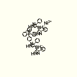 Cc1ccccc1[PH](c1ccccc1)(c1ccccc1)c1ccccc1.[BH2-](c1c[nH]nc1-c1ccccc1)c1c[nH]nc1-c1ccccc1.[BH2-](c1c[nH]nc1-c1ccccc1)c1c[nH]nc1-c1ccccc1.[Ni+2]